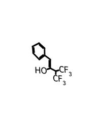 OC(=Cc1ccccc1)C(C(F)(F)F)C(F)(F)F